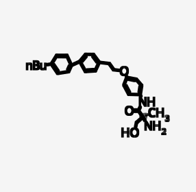 CCCCc1ccc(-c2ccc(CCOc3ccc(NC(=O)[C@@](C)(N)CO)cc3)cc2)cc1